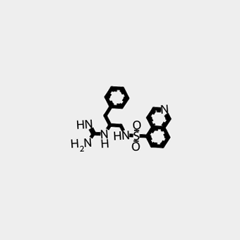 N=C(N)NC(CNS(=O)(=O)c1cccc2cnccc12)Cc1ccccc1